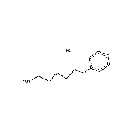 Cl.NCCCCCCc1ccccc1